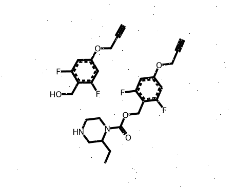 C#CCOc1cc(F)c(CO)c(F)c1.C#CCOc1cc(F)c(COC(=O)N2CCNCC2CC)c(F)c1